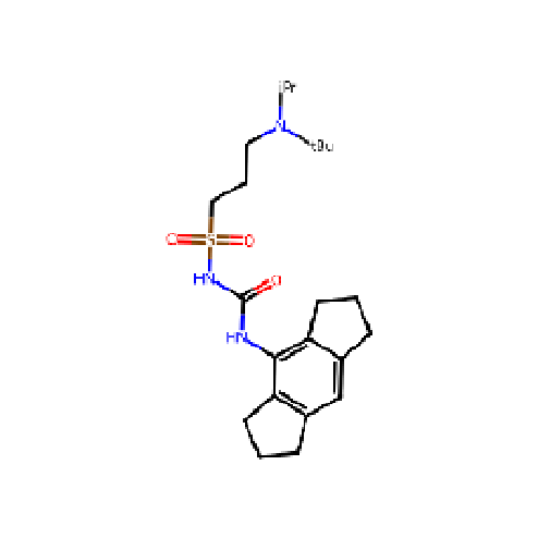 CC(C)N(CCCS(=O)(=O)NC(=O)Nc1c2c(cc3c1CCC3)CCC2)C(C)(C)C